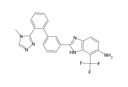 Cn1cnnc1-c1ccccc1-c1cccc(-c2nc3ccc(N)c(C(F)(F)F)c3[nH]2)c1